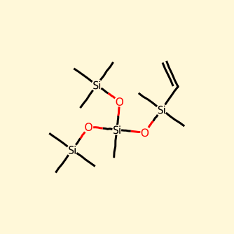 C=C[Si](C)(C)O[Si](C)(O[Si](C)(C)C)O[Si](C)(C)C